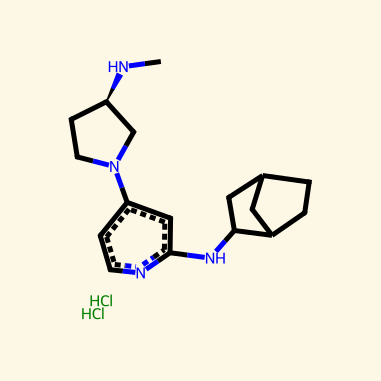 CN[C@@H]1CCN(c2ccnc(NC3CC4CCC3C4)c2)C1.Cl.Cl